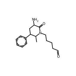 CC1C(c2ccccc2)CC(N)C(=O)N1CCCCC=O